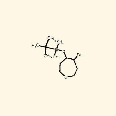 CC(C)(C)[Si](C)(C)OC1CCOCCC1O